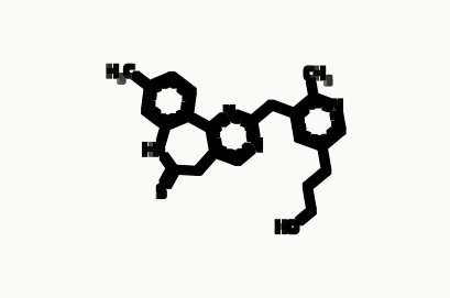 Cc1ccc2c(c1)NC(=S)Cc1cnc(Cc3cc(CCCO)cnc3C)nc1-2